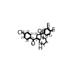 O=C(C1=C2NCCCN2C(O)(c2ccc(F)c(F)c2)C1)c1ccc(Cl)cc1